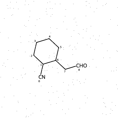 N#CC1CCCCC1CC=O